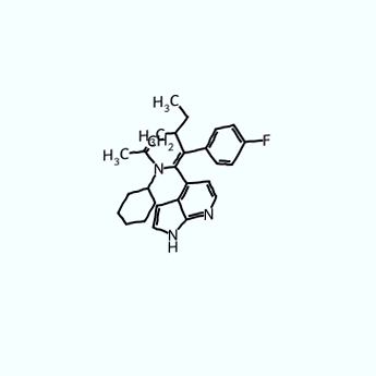 C=C(C)N(/C(=C(/c1ccc(F)cc1)C(C)CC)c1ccnc2[nH]ccc12)C1CCCCC1